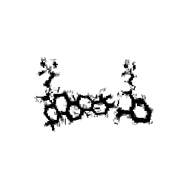 CC1(C)CC[C@]2(C(=O)NCC[N+](C)(C)C)CC[C@]3(C)C(=CC[C@@H]4[C@@]5(C)CCC(OC(=O)c6ccccc6C(=O)OCC[N+](C)(C)C)C(C)(C)[C@@H]5CC[C@]43C)[C@@H]2C1